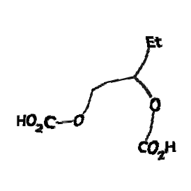 CCC(COC(=O)O)OC(=O)O